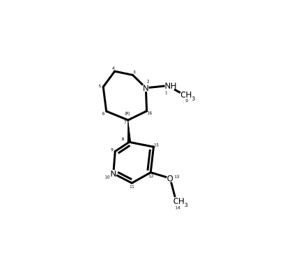 CNN1CCCC[C@H](c2cncc(OC)c2)C1